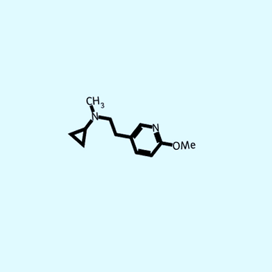 COc1ccc(CCN(C)C2CC2)cn1